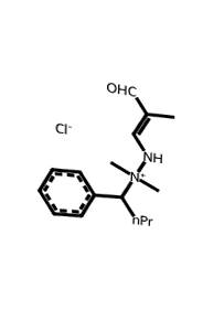 CCCC(c1ccccc1)[N+](C)(C)NC=C(C)C=O.[Cl-]